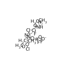 COc1cc(C(C)(C)c2cnc(SCc3c(F)cc(C(=O)N[C@H]4CCC[N+](C)(C)C4)cc3Cl)n2-c2ccc(F)cc2)ccc1Cl.O=C([O-])C(F)(F)F